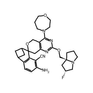 N#Cc1c(N)ccc2c1C1(Cc3nc(OC[C@@]45CCCN4C[C@H](F)C5)nc(N4CCCOCC4)c3CO1)C1CC2C1